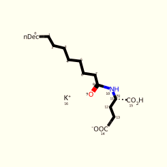 CCCCCCCCCCCCCCCCCC(=O)N[C@@H](CCC(=O)[O-])C(=O)O.[K+]